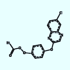 CCC(=O)OOc1ccc(Oc2cnc3cc(Cl)ccc3n2)cc1